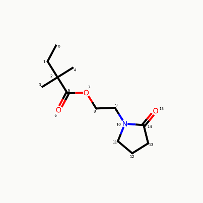 CCC(C)(C)C(=O)OCCN1CCCC1=O